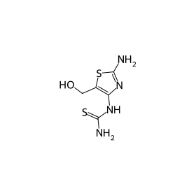 NC(=S)Nc1nc(N)sc1CO